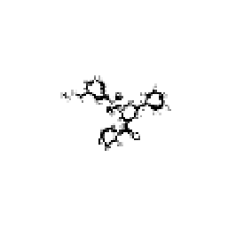 NCc1cncc(S(=O)(=O)N2CC(C(=O)N3CCOCC3)CC(c3ccccc3)C2)c1